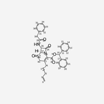 C=CCSCC1=C(C(=O)OC(c2ccccc2)c2ccccc2)N2C(=O)C(NC(=O)Cc3ccccc3)[C@@H]2[S+]([O-])C1